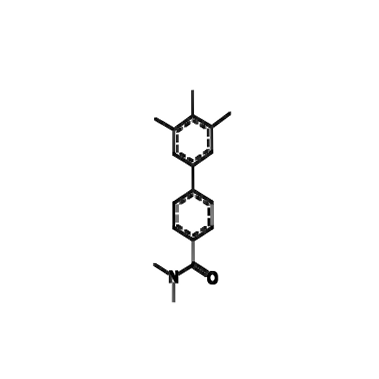 Cc1cc(-c2ccc(C(=O)N(C)C)cc2)cc(C)c1C